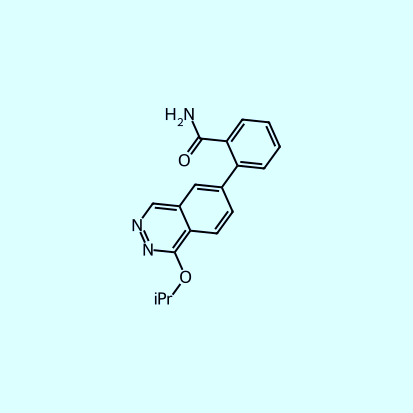 CC(C)Oc1nncc2cc(-c3ccccc3C(N)=O)ccc12